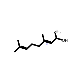 CC(C)=CCC/C(C)=C/C(O)[SiH3]